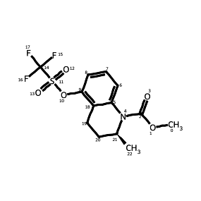 COC(=O)N1c2cccc(OS(=O)(=O)C(F)(F)F)c2CC[C@@H]1C